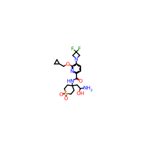 NC(O)CC1(NC(=O)c2ccc(N3CC(F)(F)C3)c(OCC3CC3)n2)CCS(=O)(=O)CC1